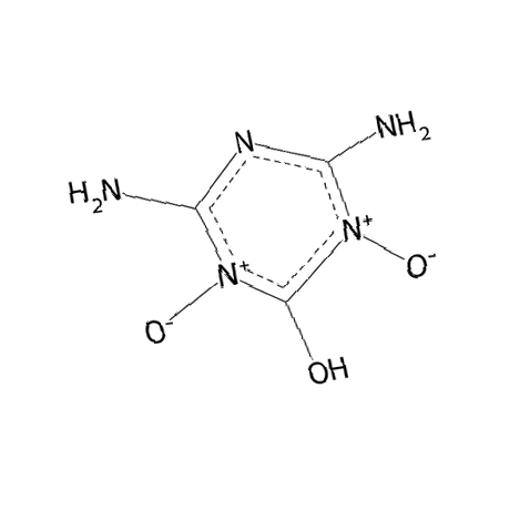 Nc1nc(N)[n+]([O-])c(O)[n+]1[O-]